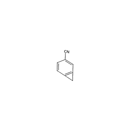 N#Cc1ccc2c(c1)C2